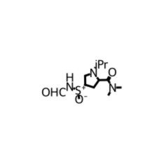 CC(C)N1CC([S+]([O-])NC=O)CC1C(=O)N(C)C